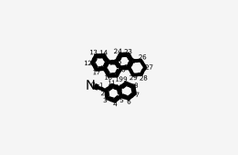 N#Cc1ccc2ccccc2c1.c1ccc2c(c1)ccc1c3c(ccc12)CCCC3